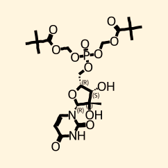 CC(C)(C)C(=O)OCOP(=O)(OCOC(=O)C(C)(C)C)OC[C@H]1O[C@@H](n2ccc(=O)[nH]c2=O)[C@@](C)(O)[C@H]1O